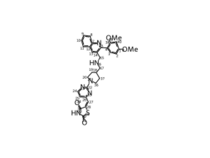 COc1ccc(-c2nc3ccccc3cc2CNCC2CCN(c3nccc(C=C4SC(=O)NC4=O)n3)CC2)c(OC)c1